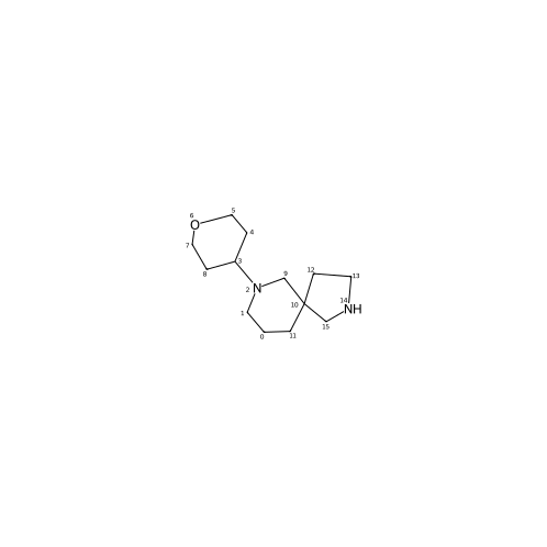 C1CN(C2CCOCC2)CC2(C1)CCNC2